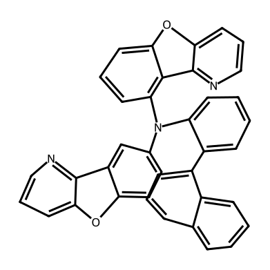 c1ccc(N(c2ccc3oc4cccnc4c3c2)c2cccc3oc4cccnc4c23)c(-c2cccc3ccccc23)c1